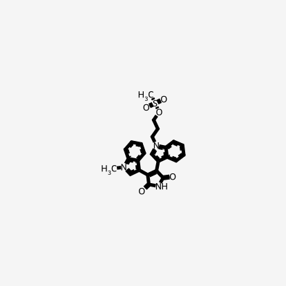 Cn1cc(C2=C(c3cn(CCCOS(C)(=O)=O)c4ccccc34)C(=O)NC2=O)c2ccccc21